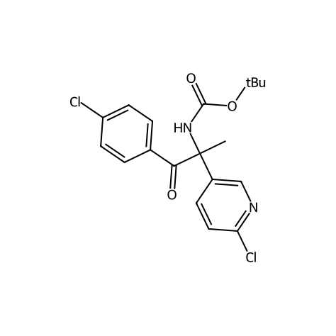 CC(C)(C)OC(=O)NC(C)(C(=O)c1ccc(Cl)cc1)c1ccc(Cl)nc1